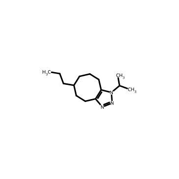 CCCC1CCCc2c(nnn2C(C)C)CC1